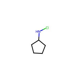 ClNC1CCCC1